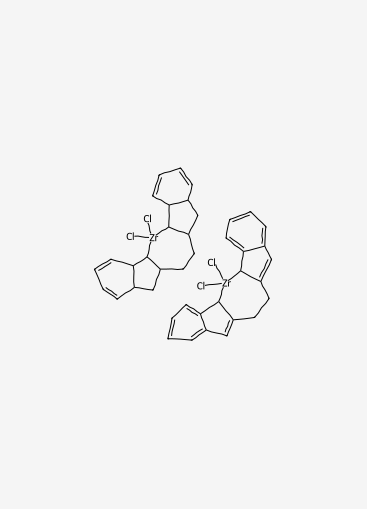 [Cl][Zr]1([Cl])[CH]2C(=Cc3ccccc32)CCC2=Cc3ccccc3[CH]21.[Cl][Zr]1([Cl])[CH]2C(CCC3CC4C=CC=CC4[CH]31)CC1C=CC=CC12